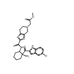 COC(=O)CN1CCc2nc(C(=O)NC3CCCCC3(N)C(=O)c3cc4cc(Cl)ccc4[nH]3)sc2C1